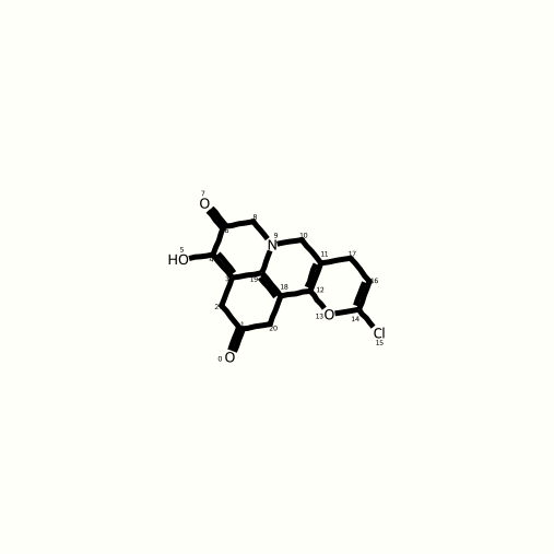 O=C1CC2=C(O)C(=O)CN3CC4=C(OC(Cl)=CC4)C(=C23)C1